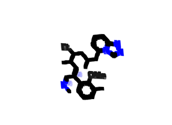 CCC(CC(C)Cc1cccc2nncn12)C(C)/C=C(\C=N/C)c1cccc(C)c1OC